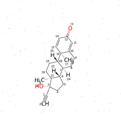 C#C[C@]1(O)CC[C@H]2[C@@H]3C=CC4=CC(=O)C=C[C@]4(C)[C@H]3CC[C@@]21C